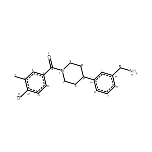 Cc1cc(C(=O)N2CCC(c3cccc(CN)c3)CC2)ccc1Cl